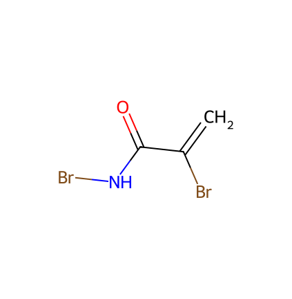 C=C(Br)C(=O)NBr